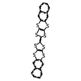 c1ccc2cc3c(cc2c1)SC1=C(SC(=C2SC4=C(S2)Sc2cc5ccccc5cc2S4)S1)S3